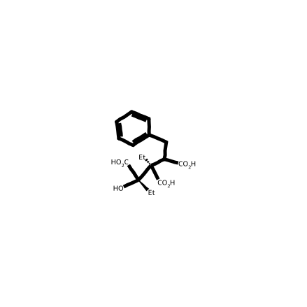 CC[C@@](O)(C(=O)O)[C@](CC)(C(=O)O)C(Cc1ccccc1)C(=O)O